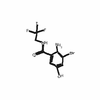 Nc1c(Br)cc(O)cc1C(=O)NCC(F)(F)F